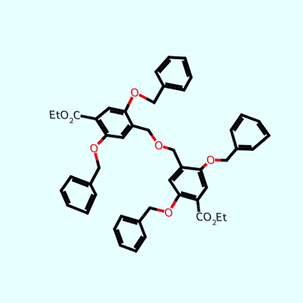 CCOC(=O)c1cc(OCc2ccccc2)c(COCc2cc(OCc3ccccc3)c(C(=O)OCC)cc2OCc2ccccc2)cc1OCc1ccccc1